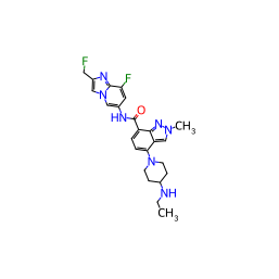 CCNC1CCN(c2ccc(C(=O)Nc3cc(F)c4nc(CF)cn4c3)c3nn(C)cc23)CC1